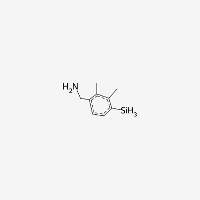 Cc1c([SiH3])ccc(CN)c1C